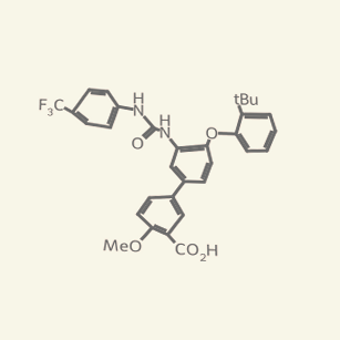 COc1ccc(-c2ccc(Oc3ccccc3C(C)(C)C)c(NC(=O)Nc3ccc(C(F)(F)F)cc3)c2)cc1C(=O)O